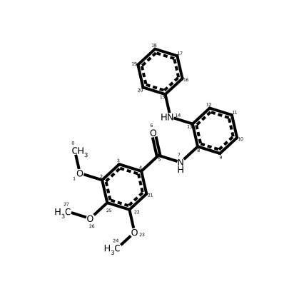 COc1cc(C(=O)Nc2ccccc2Nc2ccccc2)cc(OC)c1OC